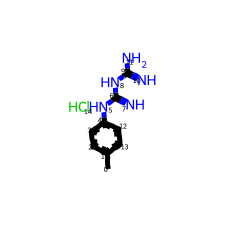 Cc1ccc(NC(=N)NC(=N)N)cc1.Cl